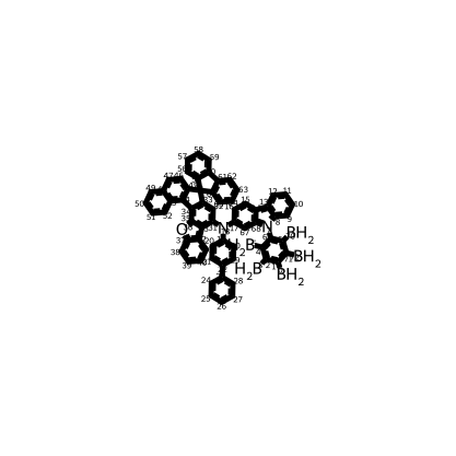 Bc1c(B)c(B)c(-n2c3ccccc3c3ccc(N(c4ccc(-c5ccccc5)cc4)c4cc5c(c6oc7ccccc7c46)-c4c(ccc6ccccc46)C54c5ccccc5-c5ccccc54)cc32)c(B)c1B